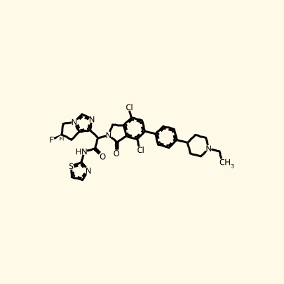 CCN1CCC(c2ccc(-c3cc(Cl)c4c(c3Cl)C(=O)N(C(C(=O)Nc3nccs3)c3ncn5c3C[C@@H](F)C5)C4)cc2)CC1